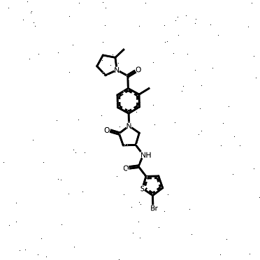 Cc1cc(N2CC(NC(=O)c3ccc(Br)s3)CC2=O)ccc1C(=O)N1CCCC1C